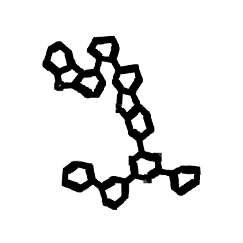 c1ccc(-c2cccc(-c3nc(-c4ccccc4)nc(-c4ccc5c(c4)sc4cc(-c6ccccc6-c6cccc7oc8ccccc8c67)ccc45)n3)c2)cc1